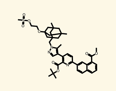 COC(=O)c1cccc2ccc(-c3ccc(-c4cnn(CC56CC7(C)CC(C)(C5)CC(OCCOS(C)(=O)=O)(C7)C6)c4C)c(C(=O)OC(C)(C)C)n3)cc12